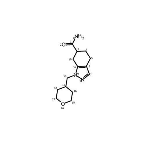 NC(=O)C1CCc2cnn(CC3CCOCC3)c2C1